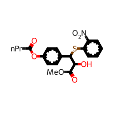 CCCC(=O)Oc1ccc(C(Sc2ccccc2[N+](=O)[O-])C(O)C(=O)OC)cc1